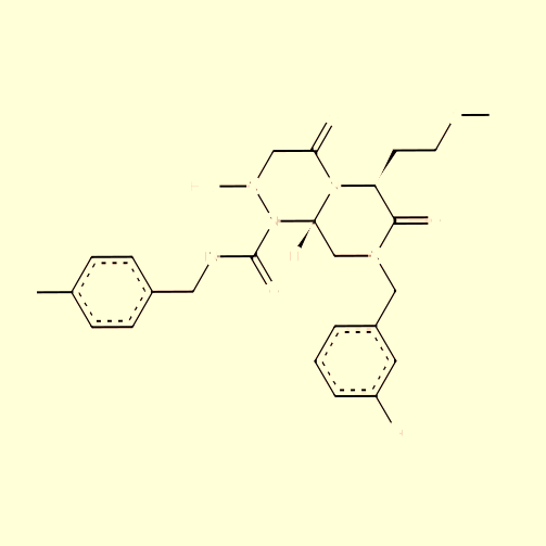 CSCC[C@H]1C(=O)N(Cc2cccc(Br)c2)C[C@H]2N1C(=O)CN(C)N2C(=O)NCc1ccc(F)cc1